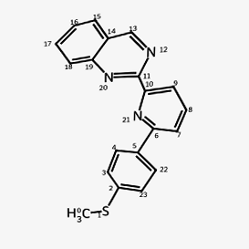 CSc1ccc(-c2cccc(-c3ncc4ccccc4n3)n2)cc1